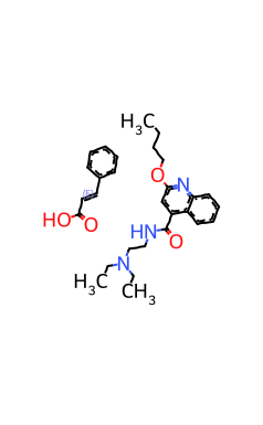 CCCCOc1cc(C(=O)NCCN(CC)CC)c2ccccc2n1.O=C(O)/C=C/c1ccccc1